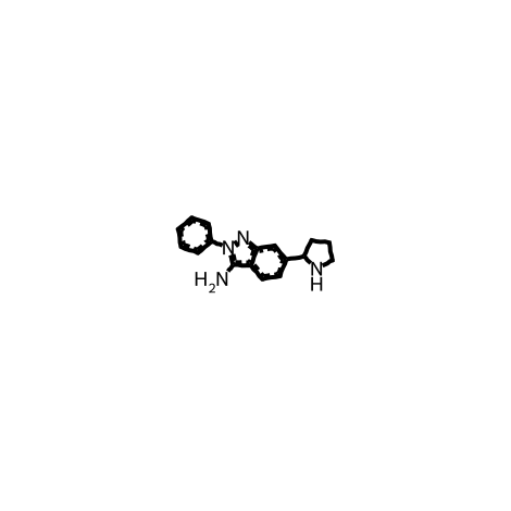 Nc1c2ccc(C3CCCN3)cc2nn1-c1ccccc1